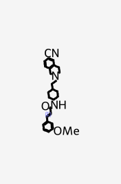 COc1cccc(/C=C/C(=O)NC2CCC(CCN3CCc4cc(C#N)ccc4C3)CC2)c1